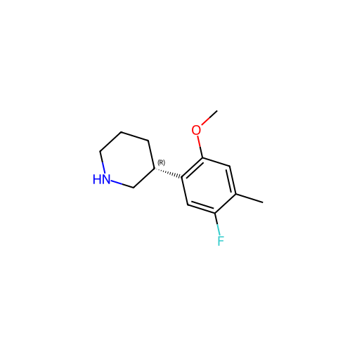 COc1cc(C)c(F)cc1[C@H]1CCCNC1